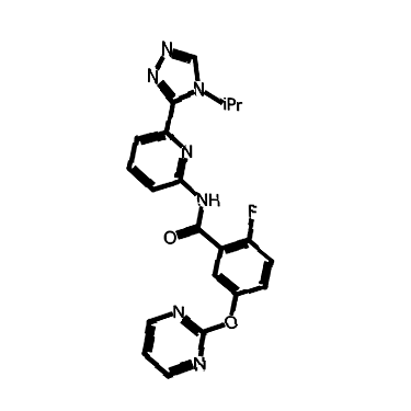 CC(C)n1cnnc1-c1cccc(NC(=O)c2cc(Oc3ncccn3)ccc2F)n1